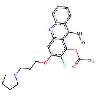 CC(C)Nc1c2ccccc2nc2cc(OCCCN3CCCC3)c(Cl)c(OC(=O)C(F)(F)F)c12